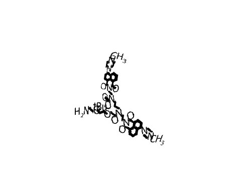 CN1CCN(c2ccc3c4c(cccc24)C(=O)N(CCN(CCCN(CCN2C(=O)c4cccc5c(N6CCN(C)CC6)ccc(c45)C2=O)C(=O)OC(C)(C)C)C(=O)COCCOCCN)C3=O)CC1